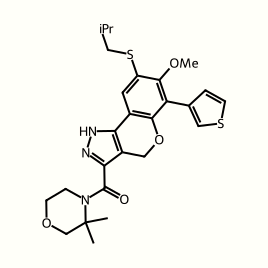 COc1c(SCC(C)C)cc2c(c1-c1ccsc1)OCc1c(C(=O)N3CCOCC3(C)C)n[nH]c1-2